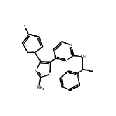 C[C@H](Nc1nccc(-c2sc(N)nc2-c2ccc(F)cc2)n1)c1ccccc1